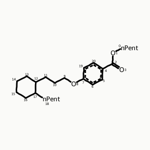 CCCCCOC(=O)c1ccc(OCCCC2CCCCC2CCCCC)cc1